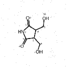 O=C1NC(=O)C(CO)C1CO